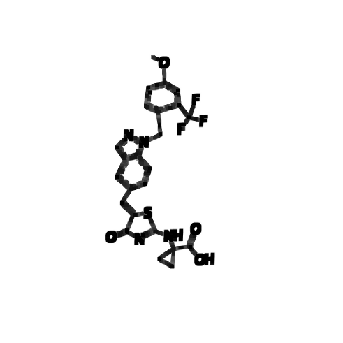 COc1ccc(Cn2ncc3cc(/C=C4\SC(NC5(C(=O)O)CC5)=NC4=O)ccc32)c(C(F)(F)F)c1